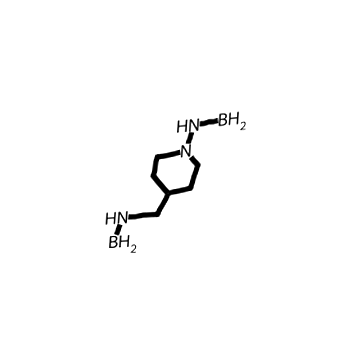 BNCC1CCN(NB)CC1